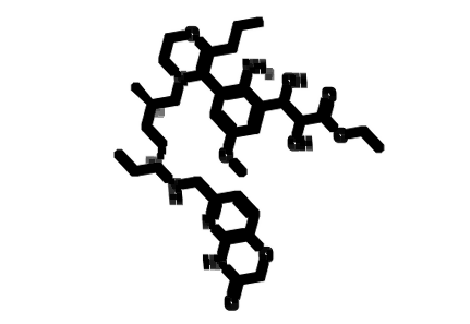 CCCC1=C(c2cc(OC)cc(C(O)C(O)C(=O)OCC)c2N)N(C[C@H](C)CC[C@@H](CC)NCc2ccc3c(n2)NC(=O)CO3)CCO1